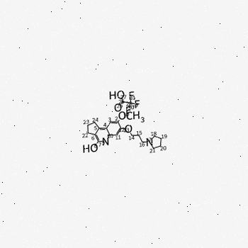 COc1cc2c3c(c(O)nc2cc1OCCCN1CCCC1)CCC3.O=C(O)C(F)(F)F